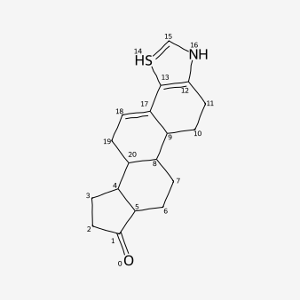 O=C1CCC2C1CCC1C3CCC4=C([SH]=CN4)C3=CCC21